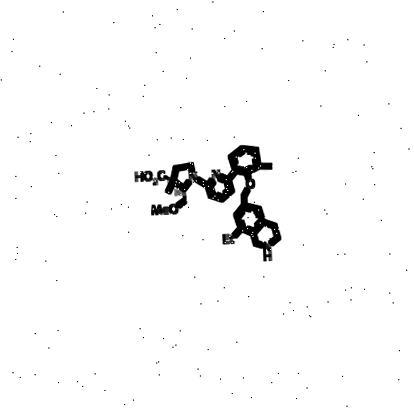 CCc1cc(COc2c(C)cccc2-c2cccc(N3CC[C@@](C)(C(=O)O)[C@H]3COC)n2)cc2c1CNCC2